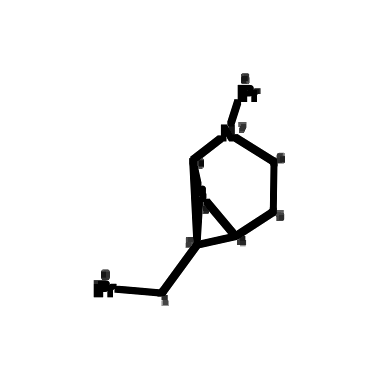 CC(C)CC12B3C1CCN(C(C)C)C32